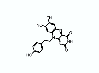 N#Cc1cc2nc3c(=O)[nH]c(=O)nc-3n(CCc3ccc(O)cc3)c2cc1C#N